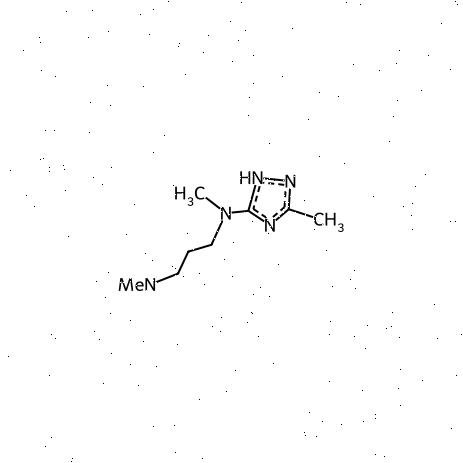 CNCCCN(C)c1nc(C)n[nH]1